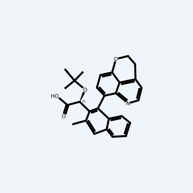 Cc1cc2ccccc2c(-c2ccc3c4c(ccnc24)CCO3)c1[C@H](OC(C)(C)C)C(=O)O